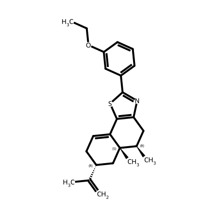 C=C(C)[C@@H]1CC=C2c3sc(-c4cccc(OCC)c4)nc3C[C@@H](C)[C@]2(C)C1